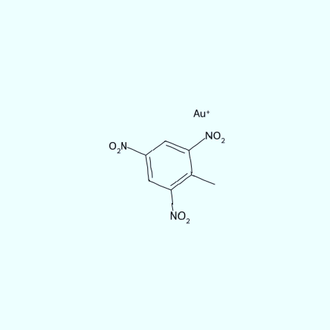 Cc1c([N+](=O)[O-])cc([N+](=O)[O-])cc1[N+](=O)[O-].[Au+]